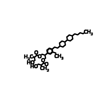 C=C(CO)C(=O)OCC(COC(=O)C(=C)CO)c1ccc(CCC2CCC(C3CCC(CCCCC)CC3)CC2)c(CC)c1